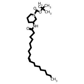 CCCCCCCC/C=C\CCCCCCCC(=O)NC1CCCN(C(=O)OC(C)(C)C)C1